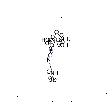 C=CS(=O)(=O)CCNC(=O)CCCCCN(C)c1ccc(/N=N/c2ccc(Nc3cc(S(=O)(=O)O)c(N)c4c3C(=O)c3ccccc3C4=O)c(S(=O)(=O)O)c2)cc1